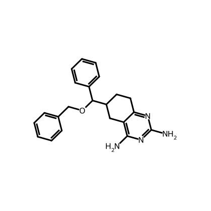 Nc1nc(N)c2c(n1)CCC(C(OCc1ccccc1)c1ccccc1)C2